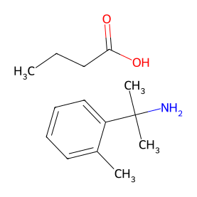 CCCC(=O)O.Cc1ccccc1C(C)(C)N